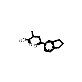 CC(CC(=O)c1ccc2c(c1)CCC2)C(=O)O